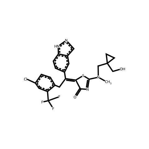 CN(CC1(CO)CC1)C1=NC(=O)C(=C(Cc2ccc(Cl)cc2C(F)(F)F)c2ccc3[nH]ncc3c2)S1